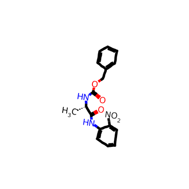 C[C@H](NC(=O)OCc1ccccc1)C(=O)Nc1ccccc1[N+](=O)[O-]